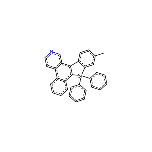 Cc1ccc2c(c1)[Si](c1ccccc1)(c1ccccc1)c1c-2c2cnccc2c2ccccc12